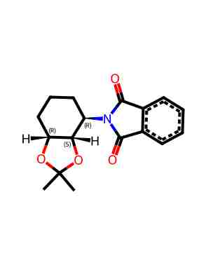 CC1(C)O[C@H]2[C@H](N3C(=O)c4ccccc4C3=O)CCC[C@H]2O1